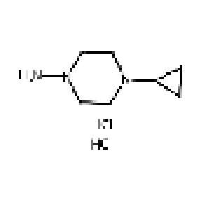 Cl.Cl.NN1CCN(C2CC2)CC1